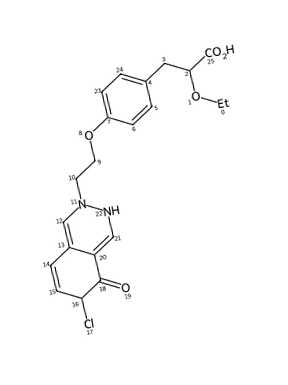 CCOC(Cc1ccc(OCCN2C=C3C=CC(Cl)C(=O)C3=CN2)cc1)C(=O)O